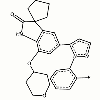 O=C1Nc2c(OC3CCOCC3)cc(-c3ccnn3-c3ccccc3F)cc2C12CCCC2